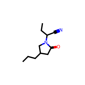 CCCC1CC(=O)N(C(C#N)CC)C1